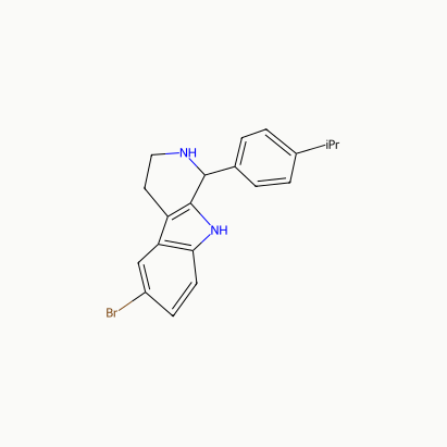 CC(C)c1ccc(C2NCCc3c2[nH]c2ccc(Br)cc32)cc1